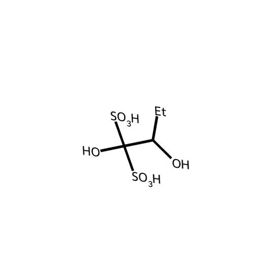 CCC(O)C(O)(S(=O)(=O)O)S(=O)(=O)O